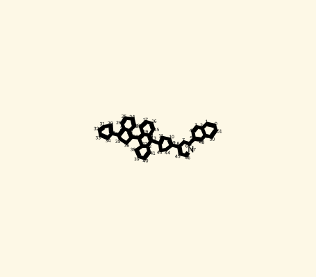 C1=CC2C=CC(C3CC(C4=CC=C(C5=c6ccccc6=C(C6=c7ccccc7=C(c7ccccc7)CC6)C6C=CC=CC56)CC4)=CC=N3)=CC2C=C1